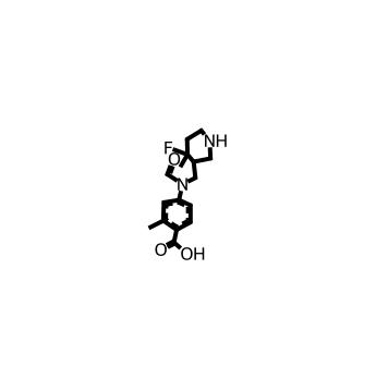 Cc1cc(N(C=O)CC2CNCCC2(C)F)ccc1C(=O)O